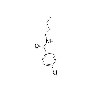 CCCCNC(=O)c1ccc(Cl)cc1